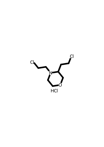 Cl.ClCCC1COCCN1CCCl